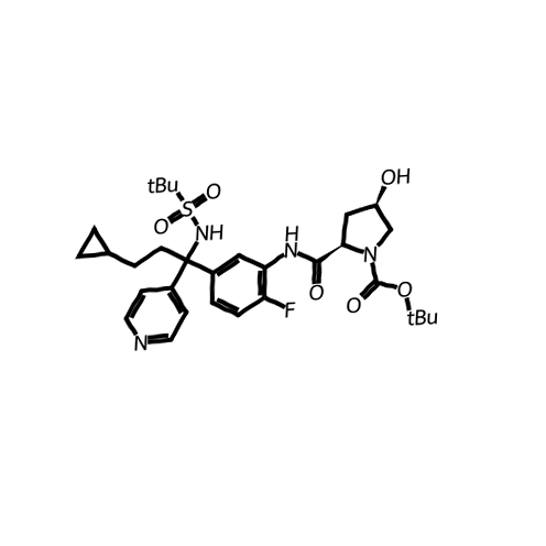 CC(C)(C)OC(=O)N1C[C@H](O)C[C@@H]1C(=O)Nc1cc(C(CCC2CC2)(NS(=O)(=O)C(C)(C)C)c2ccncc2)ccc1F